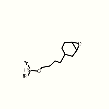 CC(C)[SiH](OCCCCC1CCC2OC2C1)C(C)C